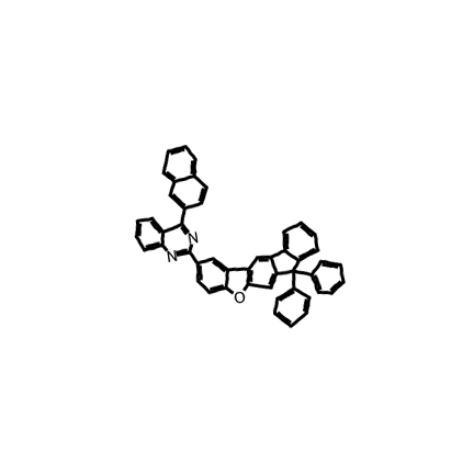 c1ccc(C2(c3ccccc3)c3ccccc3-c3cc4c(cc32)oc2ccc(-c3nc(-c5ccc6ccccc6c5)c5ccccc5n3)cc24)cc1